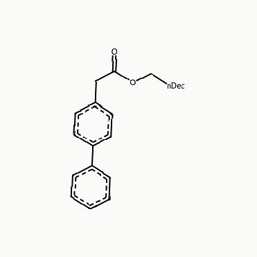 CCCCCCCCCCCOC(=O)Cc1ccc(-c2ccccc2)cc1